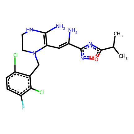 CC(C)c1nc(/C(N)=C/C2=C(N)NCCN2Cc2c(Cl)ccc(F)c2Cl)no1